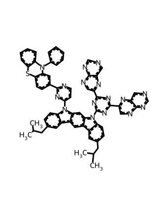 CC(C)Cc1ccc2c(c1)c1cc3c4cc(CC(C)C)ccc4n(-c4nc(-c5cnc6ncncc6n5)nc(-c5cnc6ncncc6n5)n4)c3cc1n2-c1ccnc(-c2ccc3c(c2)N(c2ccccc2)c2ccccc2S3)n1